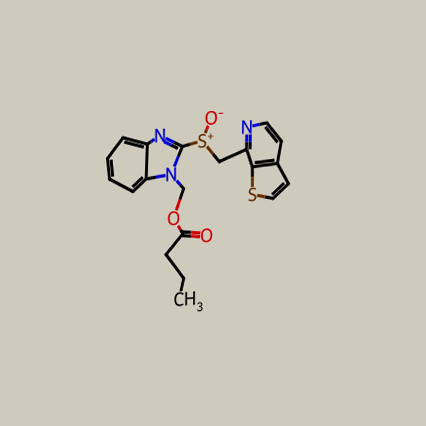 CCCC(=O)OCn1c([S+]([O-])Cc2nccc3ccsc23)nc2ccccc21